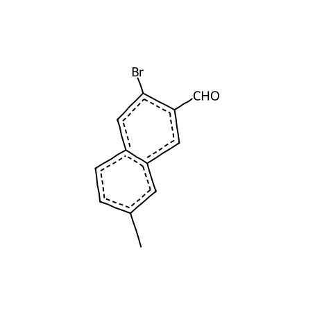 Cc1ccc2cc(Br)c(C=O)cc2c1